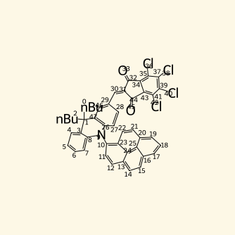 CCCCC1(CCCC)c2ccccc2N(c2ccc3ccc4cccc5ccc2c3c45)c2ccc(C=C3C(=O)c4c(Cl)c(Cl)c(Cl)c(Cl)c4C3=O)cc21